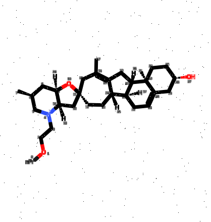 CCCOCCN1C[C@@H](C)C[C@H]2O[C@]3(CC[C@@H]4C(=C(C)C3)C[C@H]3[C@H]4CC=C4C[C@@H](O)CC[C@@]43C)C[C@@H]21